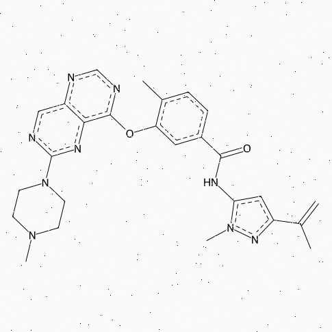 C=C(C)c1cc(NC(=O)c2ccc(C)c(Oc3ncnc4cnc(N5CCN(C)CC5)nc34)c2)n(C)n1